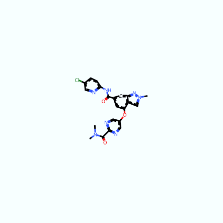 CN(C)C(=O)c1ncc(Oc2cc(C(=O)Nc3ccc(Cl)cn3)cc3nn(C)cc23)cn1